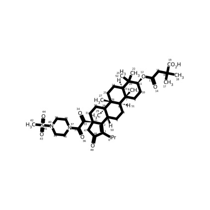 CC(C)C1=C2[C@H]3CC[C@@H]4[C@@]5(C)CC[C@H](OC(=O)CC(C)(C)C(=O)O)C(C)(C)[C@@H]5CC[C@@]4(C)[C@]3(C)CC[C@@]2(C(=O)C(=O)N2CCN(S(C)(=O)=O)CC2)CC1=O